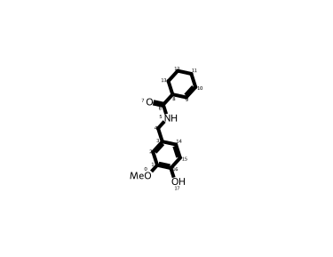 COc1cc(CNC(=O)C2C=CCCC2)ccc1O